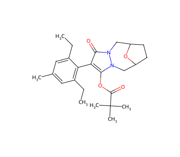 CCc1cc(C)cc(CC)c1-c1c(OC(=O)C(C)(C)C)n2n(c1=O)CC1CCC(C2)O1